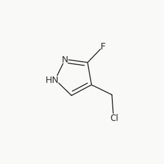 Fc1n[nH]cc1CCl